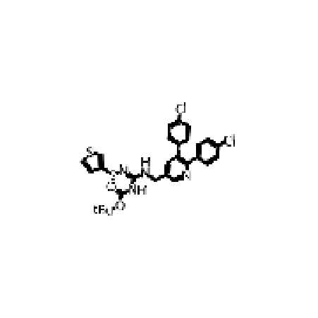 CC(C)(C)OC(=O)N/C(=N\Sc1ccsc1)NCc1cnc(-c2ccc(Cl)cc2)c(-c2ccc(Cl)cc2)c1